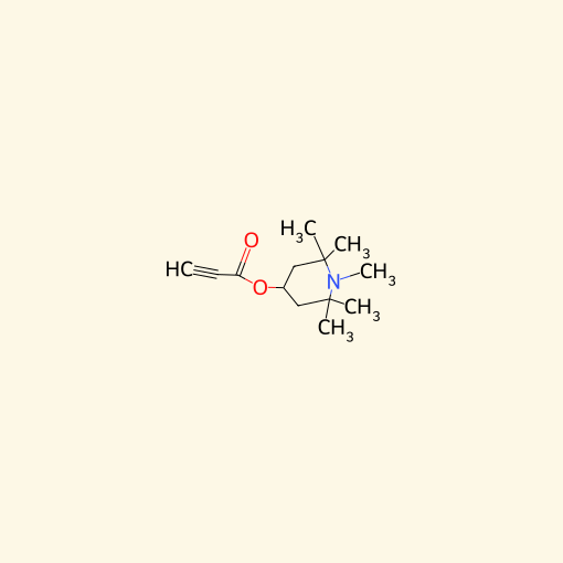 C#CC(=O)OC1CC(C)(C)N(C)C(C)(C)C1